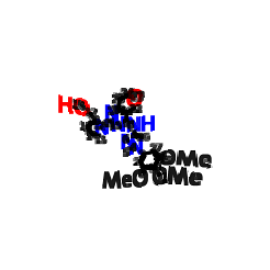 COc1cc(-n2cnc(Nc3nc(N4CCC[C@H]4CO)nc4c3COCC4)c2)cc(OC)c1OC